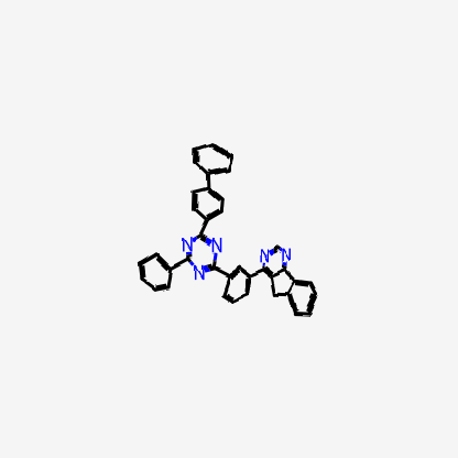 c1ccc(-c2ccc(-c3nc(-c4ccccc4)nc(-c4cccc(-c5ncnc6c5Cc5ccccc5-6)c4)n3)cc2)cc1